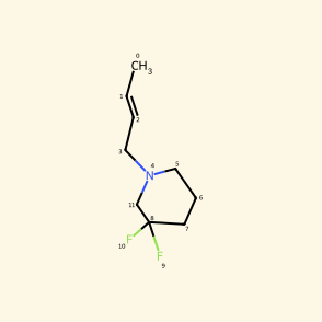 C/C=C/CN1CCCC(F)(F)C1